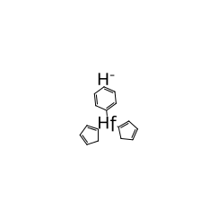 C1=CC[C]([Hf]([C]2=CC=CC2)[c]2ccccc2)=C1.[H-]